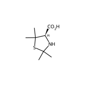 CC1(C)N[C@H](C(=O)O)C(C)(C)S1